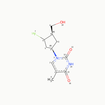 Cc1cn([C@H]2CC([18F])[C@@H](CO)C2)c(=O)[nH]c1=O